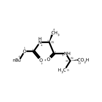 CCCCOC(=O)N[C@@H](C)C(=O)N[C@@H](C)C(=O)O